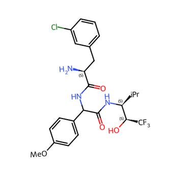 COc1ccc(C(NC(=O)[C@@H](N)Cc2cccc(Cl)c2)C(=O)N[C@@H](C(C)C)[C@H](O)C(F)(F)F)cc1